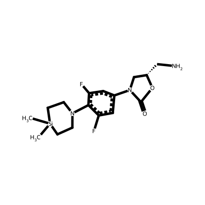 C[Si]1(C)CCN(c2c(F)cc(N3C[C@H](CN)OC3=O)cc2F)CC1